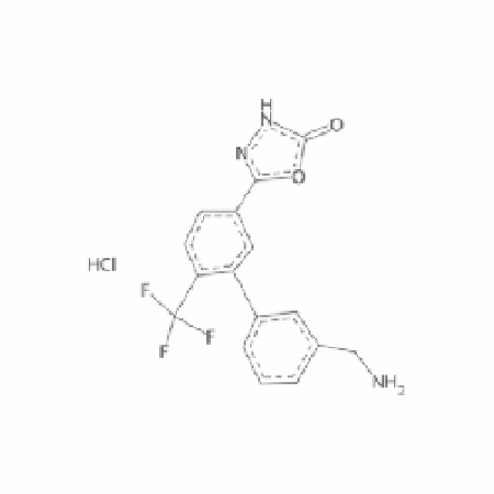 Cl.NCc1cccc(-c2cc(-c3n[nH]c(=O)o3)ccc2C(F)(F)F)c1